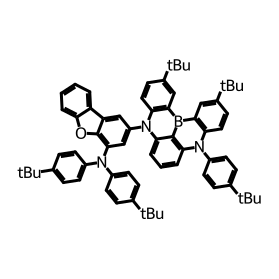 CC(C)(C)c1ccc(N2c3ccc(C(C)(C)C)cc3B3c4cc(C(C)(C)C)ccc4N(c4cc(N(c5ccc(C(C)(C)C)cc5)c5ccc(C(C)(C)C)cc5)c5oc6ccccc6c5c4)c4cccc2c43)cc1